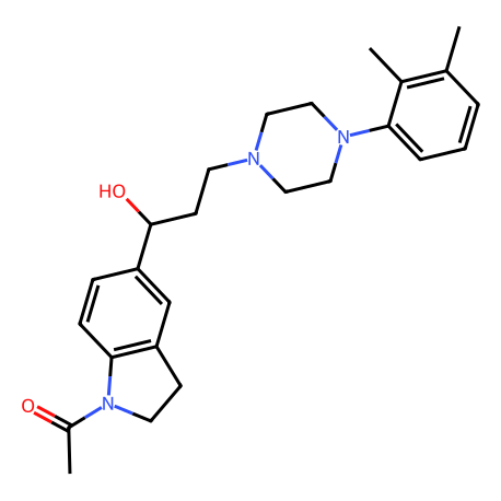 CC(=O)N1CCc2cc(C(O)CCN3CCN(c4cccc(C)c4C)CC3)ccc21